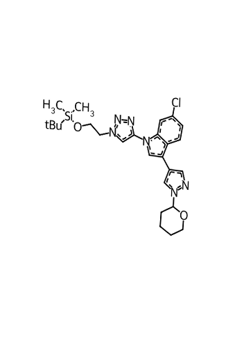 CC(C)(C)[Si](C)(C)OCCn1cc(-n2cc(-c3cnn(C4CCCCO4)c3)c3ccc(Cl)cc32)nn1